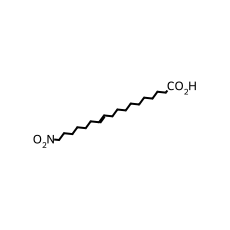 O=C(O)CCCCCCCCCC=CCCCCCC[N+](=O)[O-]